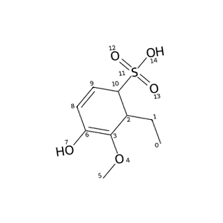 CCC1C(OC)=C(O)C=CC1S(=O)(=O)O